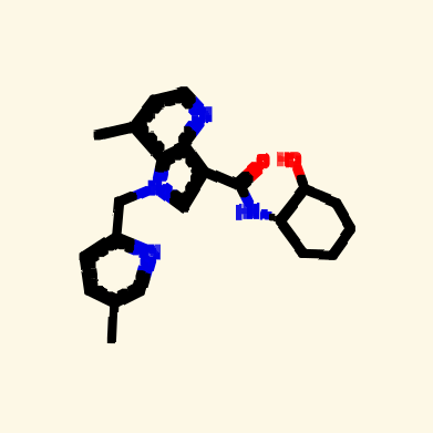 Cc1ccc(Cn2cc(C(=O)N[C@H]3CCCCC3O)c3nccc(C)c32)nc1